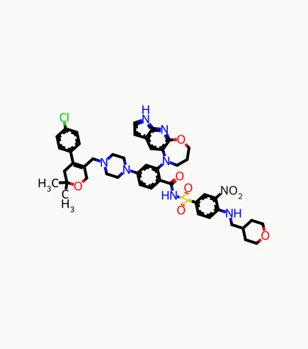 CC1(C)CC(c2ccc(Cl)cc2)=C(CN2CCN(c3ccc(C(=O)NS(=O)(=O)c4ccc(NCC5CCOCC5)c([N+](=O)[O-])c4)c(N4CCCOc5nc6[nH]ccc6cc54)c3)CC2)CO1